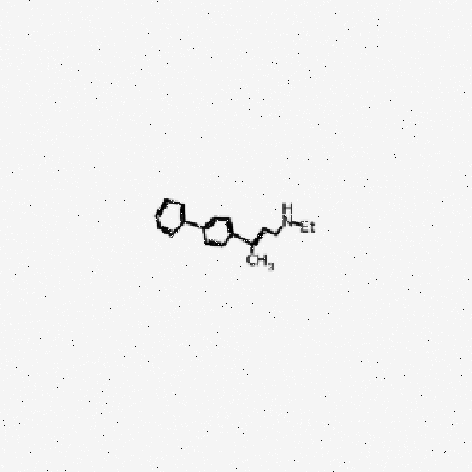 CCNCC=C(C)c1ccc(-c2ccccc2)cc1